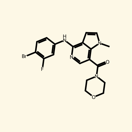 Cn1ccc2c(Nc3ccc(Br)c(F)c3)ncc(C(=O)N3CCOCC3)c21